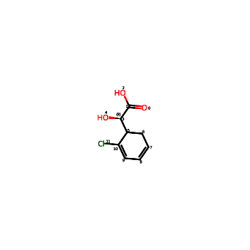 O=C(O)[C@H](O)C1CC=CC=C1Cl